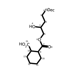 CCCCCCCCCCCCC(O)COC(=O)C1CCCCC1C(=O)O